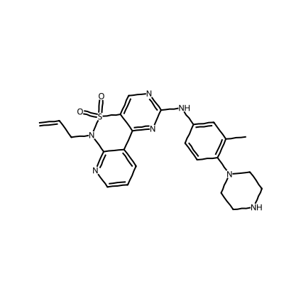 C=CCN1c2ncccc2-c2nc(Nc3ccc(N4CCNCC4)c(C)c3)ncc2S1(=O)=O